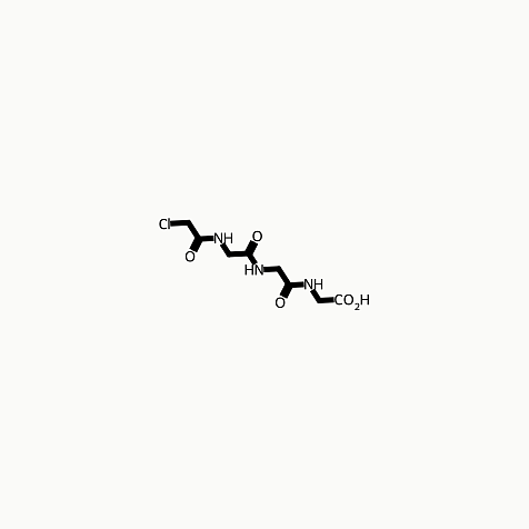 O=C(O)CNC(=O)CNC(=O)CNC(=O)CCl